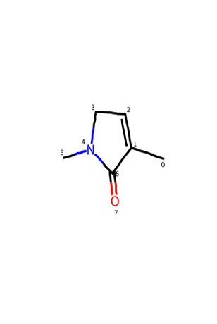 CC1=CCN(C)C1=O